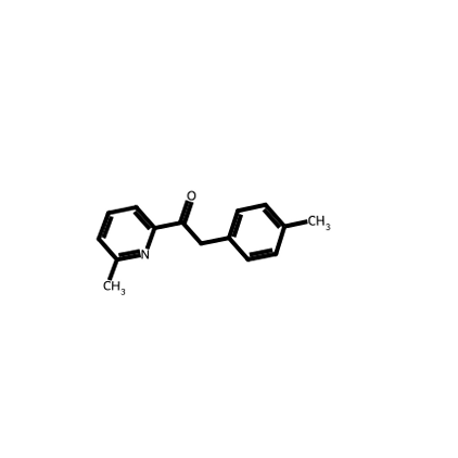 Cc1ccc(CC(=O)c2cccc(C)n2)cc1